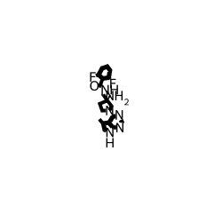 Cc1c[nH]c2ncnc(N3CC[C@](N)(CNC(=O)c4c(F)cccc4F)C3)c12